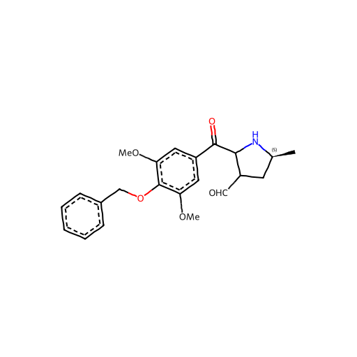 COc1cc(C(=O)C2N[C@@H](C)CC2C=O)cc(OC)c1OCc1ccccc1